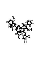 C=C1OC(C(CC2CCNC2=O)NC(=O)C(CC(C)C)NC(=O)c2cc3c(OC)cccc3[nH]2)C(=N)N1c1ccccc1